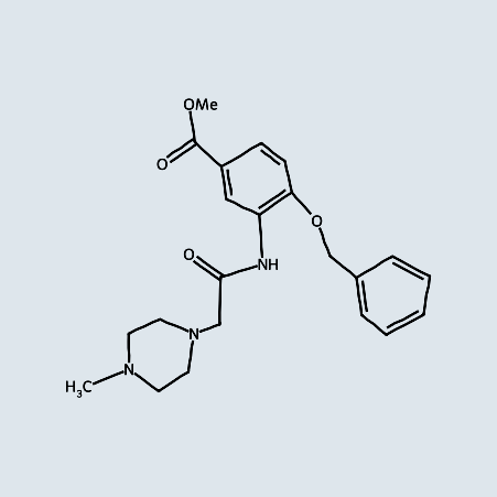 COC(=O)c1ccc(OCc2ccccc2)c(NC(=O)CN2CCN(C)CC2)c1